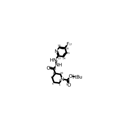 CC(C)(C)OC(=O)N1CCCC(C(=O)NNc2ccc(F)cn2)C1